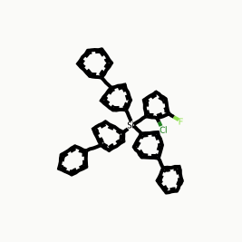 Fc1cccc([Si](c2ccc(-c3ccccc3)cc2)(c2ccc(-c3ccccc3)cc2)c2ccc(-c3ccccc3)cc2)c1Cl